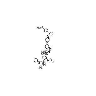 CSc1ccc(C2=C(CN3CCN(c4ccc5c(NS(=O)(=O)c6ccc(NC(CCN(C)C)CSc7ccccc7)c([N+](=O)[O-])c6)ncnc5c4)CC3)CCCC2)cc1